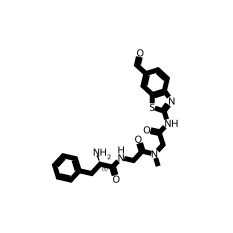 CN(CC(=O)Nc1nc2ccc(C=O)cc2s1)C(=O)CNC(=O)[C@@H](N)Cc1ccccc1